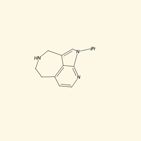 CC(C)n1cc2c3c(ccnc31)CCNC2